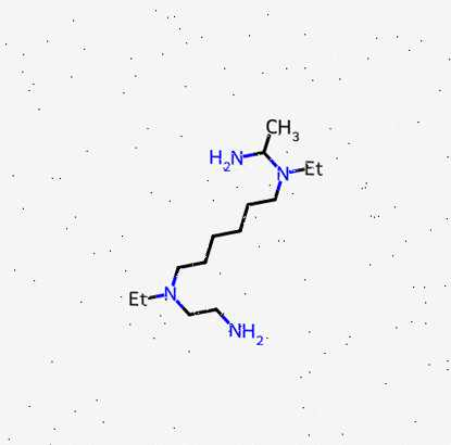 CCN(CCN)CCCCCCN(CC)C(C)N